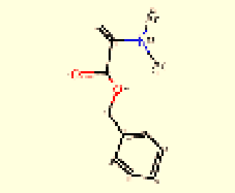 C=C(C(=O)OCc1ccccc1)N(C(C)=O)C(C)=O